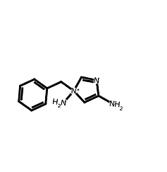 NC1=C[N+](N)(Cc2ccccc2)C=N1